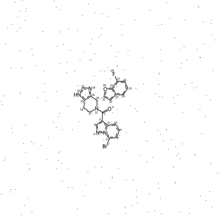 O=C(c1cnn2c(Br)cccc12)N1CCc2[nH]cnc2[C@@H]1c1cc2cccc(F)c2o1